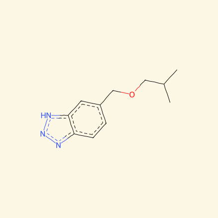 CC(C)COCc1ccc2nn[nH]c2c1